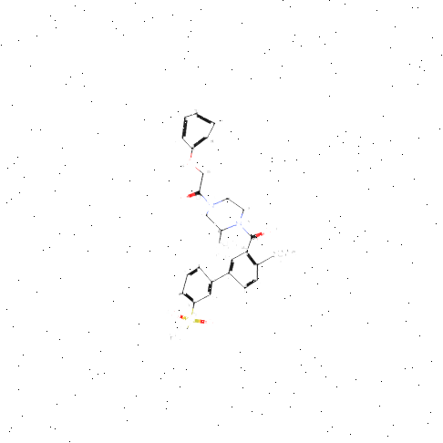 CNc1ccc(-c2cccc(S(C)(=O)=O)c2)cc1C(=O)N1CCN(C(=O)COc2ccccc2)CC1C=O